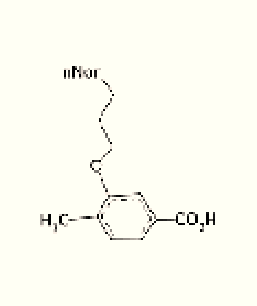 CCCCCCCCCCCCOc1cc(C(=O)O)ccc1C